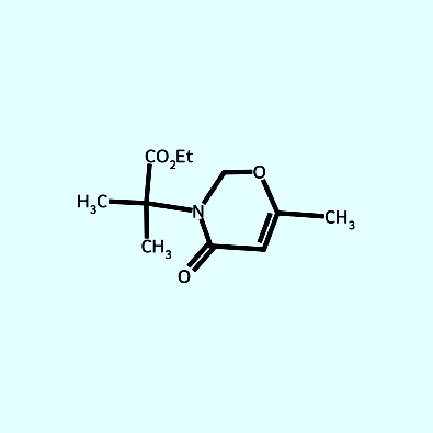 CCOC(=O)C(C)(C)N1COC(C)=CC1=O